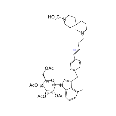 CC(=O)OC[C@H]1O[C@@H](n2cc(Cc3ccc(/C=C/CCN4CCCC5(CCN(C(=O)O)CC5)C4)cc3)c3c(C)cccc32)[C@H](OC(C)=O)[C@@H](OC(C)=O)[C@@H]1OC(C)=O